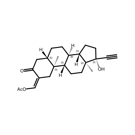 C#C[C@]1(O)CC[C@H]2[C@@H]3CC[C@H]4CC(=O)C(=COC(C)=O)C[C@]4(C)[C@H]3CC[C@@]21C